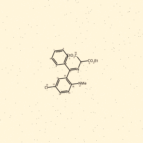 CCOC(=O)C(N=C(c1ccccc1)c1cc(Cl)ccc1NC)C(=O)OCC